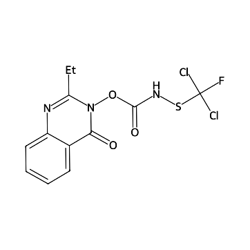 CCc1nc2ccccc2c(=O)n1OC(=O)NSC(F)(Cl)Cl